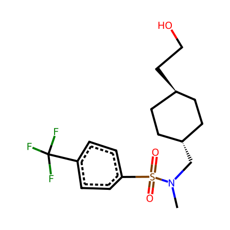 CN(C[C@H]1CC[C@H](CCO)CC1)S(=O)(=O)c1ccc(C(F)(F)F)cc1